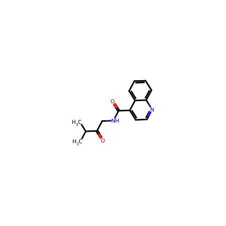 CC(C)C(=O)CNC(=O)c1ccnc2ccccc12